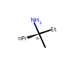 CCC[C@@](C)(N)CC